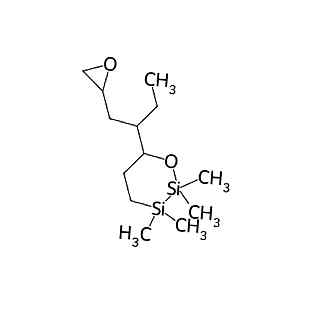 CCC(CC1CO1)C1CC[Si](C)(C)[Si](C)(C)O1